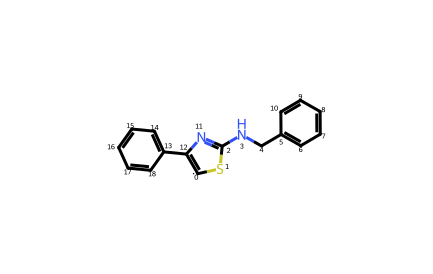 [c]1sc(NCc2ccccc2)nc1-c1ccccc1